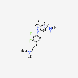 C=C(C)/C(C(=C)Nc1ccc(CCCN(CC)CCCC)c(F)c1F)=C(\C)C(C)(CC)N(C)CCC